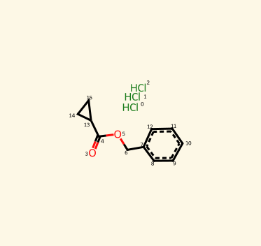 Cl.Cl.Cl.O=C(OCc1ccccc1)C1CC1